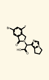 O=C(O)C(c1ncn2c1CCC2)N1Cc2c(F)cc(Br)cc2C1=O